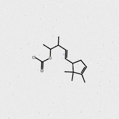 CC1=CCC(/C=C/C(C)C(C)OC(=O)Cl)C1(C)C